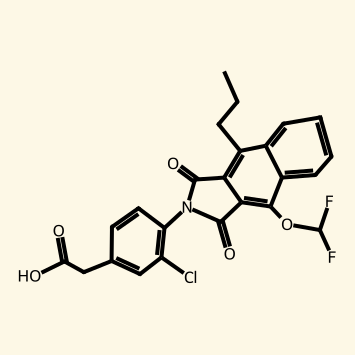 CCCc1c2c(c(OC(F)F)c3ccccc13)C(=O)N(c1ccc(CC(=O)O)cc1Cl)C2=O